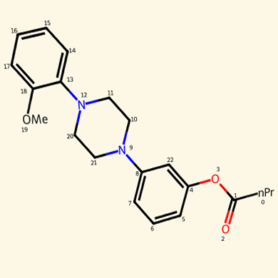 CCCC(=O)Oc1cccc(N2CCN(c3ccccc3OC)CC2)c1